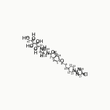 O=C(Cc1ccc(OCCCC2CCN(c3ncc(Cl)cn3)CC2)cc1F)N1C[C@H]2CN(C[C@H](O)[C@@H](O)[C@H](O)[C@H](O)CO)[C@H]2C1